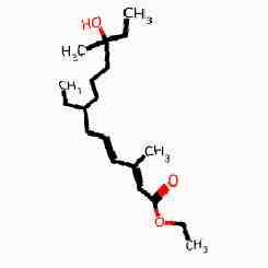 CCOC(=O)/C=C(C)/C=C/CC(CC)CCCC(C)(O)CC